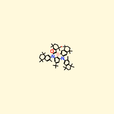 Cc1cc2c(cc1N1c3cc4c(cc3B3c5c1cc(C(C)(C)C)cc5N(c1cc5c(cc1C)C(C)(C)CCC5(C)C)c1oc5c(c13)C(C)(C)CCC5(C)C)C(C)(C)CCC4(C)C)C(C)(C)CCC2(C)C